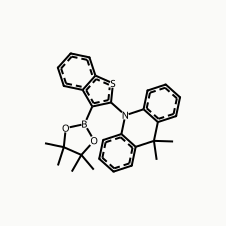 CC1(C)c2ccccc2N(c2sc3ccccc3c2B2OC(C)(C)C(C)(C)O2)c2ccccc21